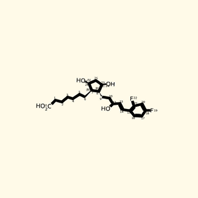 O=C(O)CCCCCC[C@@H]1[C@@H](CCC(O)C=Cc2ccc(F)cc2F)[C@H](O)C[C@@H]1O